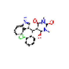 CN1C(=O)C(C(c2ccccc2Cl)c2c[nH]c3ccccc23)C(=O)N(C)C1=O